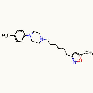 Cc1ccc(N2CCN(CCCCCCc3cc(C)on3)CC2)cc1